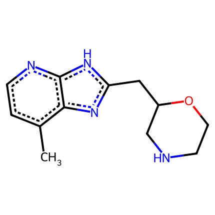 Cc1ccnc2[nH]c(CC3CNCCO3)nc12